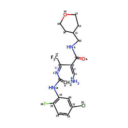 C=C(/N=C(\C(=C/N)C(=O)NCC1CCOCC1)C(F)(F)F)Nc1cc(Cl)ccc1F